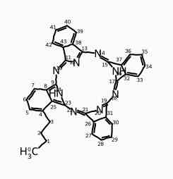 CCCCc1cccc2c3nc4nc(nc5[nH]c(nc6nc(nc([nH]3)c12)-c1ccccc1-6)c1ccccc51)-c1ccccc1-4